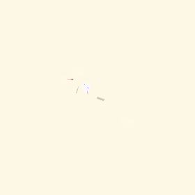 O=C(O)c1csc(C#CCCCO)n1